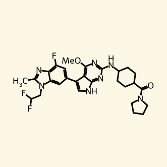 COc1nc(NC2CCC(C(=O)N3CCCC3)CC2)nc2[nH]cc(-c3cc(F)c4nc(C)n(CC(F)F)c4c3)c12